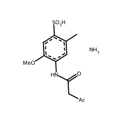 COc1cc(S(=O)(=O)O)c(C)cc1NC(=O)CC(C)=O.N